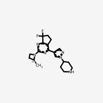 C[C@H]1CCN1c1nc(-c2cnn(C3CCNCC3)c2)c2c(n1)C(F)(F)CC2